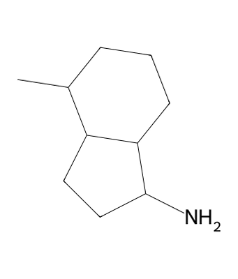 CC1CCCC2C(N)CCC12